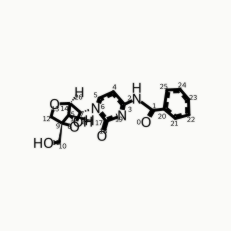 O=C(Nc1ccn([C@@H]2O[C@]3(CO)CO[C@@H]2[C@@H]3O)c(=O)n1)c1ccccc1